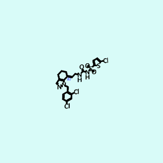 O=C(NC/C=C1\CCCc2cnn(Cc3ccc(Cl)cc3Cl)c21)NS(=O)(=O)c1ccc(Cl)s1